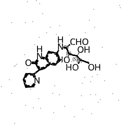 O=C[C@H](Nc1ccc2cc(-c3ccccn3)c(=O)[nH]c2c1)[C@@H](O)[C@H](O)[C@H](O)CO